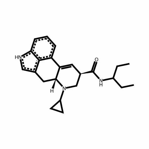 CCC(CC)NC(=O)[C@@H]1C=C2c3cccc4[nH]cc(c34)C[C@H]2N(C2CC2)C1